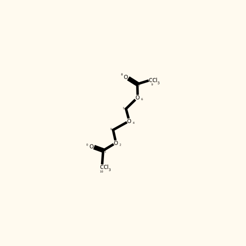 O=C(OCOCOC(=O)C(Cl)(Cl)Cl)C(Cl)(Cl)Cl